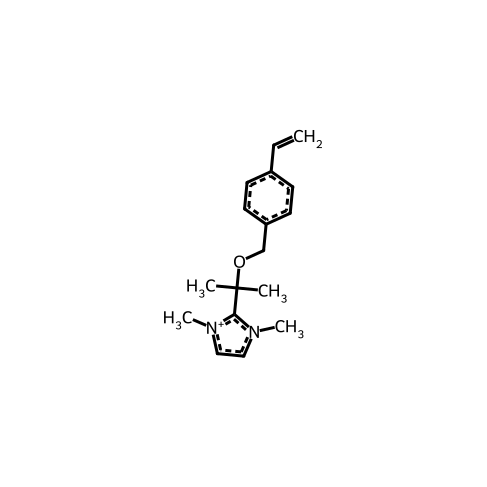 C=Cc1ccc(COC(C)(C)c2n(C)cc[n+]2C)cc1